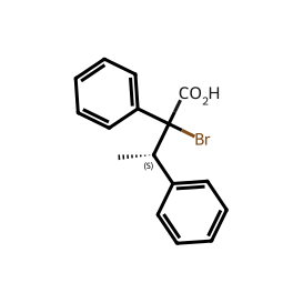 C[C@@H](c1ccccc1)C(Br)(C(=O)O)c1ccccc1